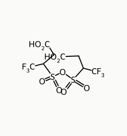 O=C(O)CC(C(F)(F)F)S(=O)(=O)OS(=O)(=O)C(CC(=O)O)C(F)(F)F